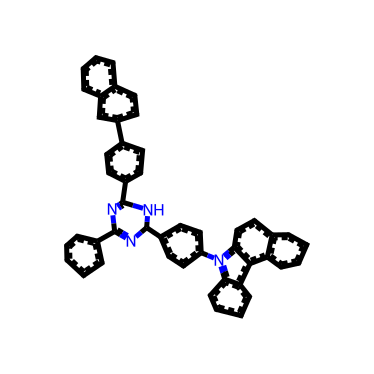 c1ccc(C2=NC(c3ccc(-n4c5ccccc5c5c6ccccc6ccc54)cc3)NC(c3ccc(-c4ccc5ccccc5c4)cc3)=N2)cc1